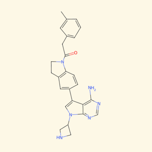 Cc1cccc(CC(=O)N2CCc3cc(-c4cn(C5CNC5)c5ncnc(N)c45)ccc32)c1